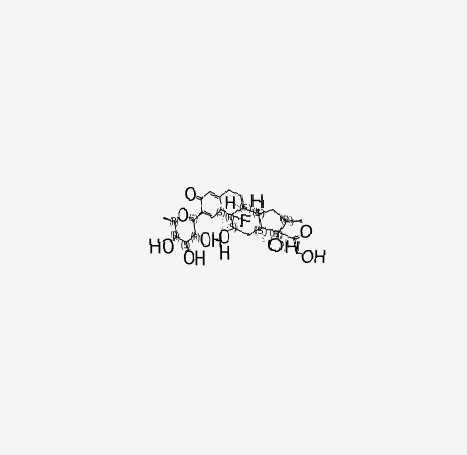 C[C@@H]1C[C@H]2[C@@H]3CCC4=CC(=O)C([C@@H]5O[C@H](C)[C@H](O)[C@H](O)[C@H]5O)=C[C@]4(C)[C@@]3(F)[C@@H](O)C[C@]2(C)[C@@]1(O)C(=O)CO